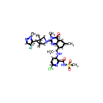 Cc1cc([C@@H](C)Nc2ccc(Cl)nc2C(=O)NS(C)(=O)=O)c2nc(N3C[C@@H]4C(c5c(F)cnn5C)[C@@H]4C3)n(C)c(=O)c2c1